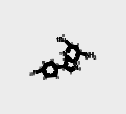 CC(C)(C)c1cc(N)n2ncc(-c3ccc(F)cc3)c2n1